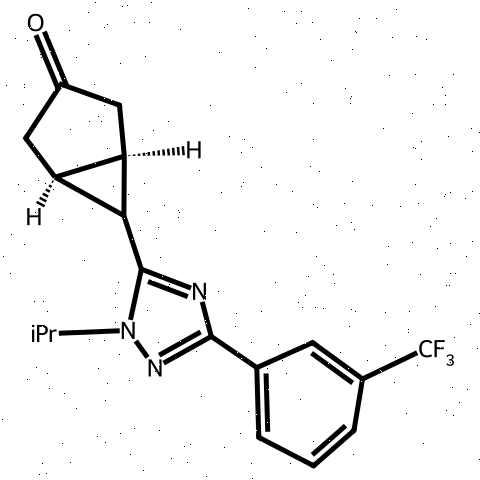 CC(C)n1nc(-c2cccc(C(F)(F)F)c2)nc1C1[C@H]2CC(=O)C[C@@H]12